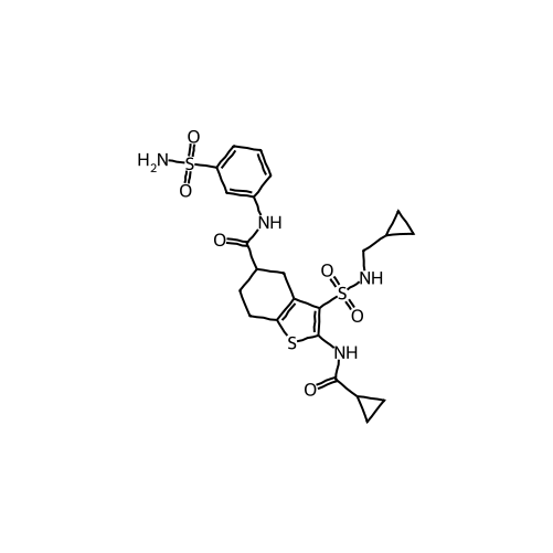 NS(=O)(=O)c1cccc(NC(=O)C2CCc3sc(NC(=O)C4CC4)c(S(=O)(=O)NCC4CC4)c3C2)c1